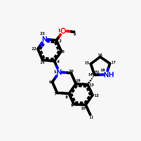 COc1cc(N2CCc3cc(C)cc([C@@H]4CCCN4)c3C2)ccn1